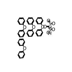 O=C([SH](=O)=O)[SH](=O)=O.c1ccc(Oc2ccccc2)cc1.c1ccc(Oc2ccccc2)cc1.c1ccc(Oc2ccccc2)cc1.c1ccc(Oc2ccccc2)cc1